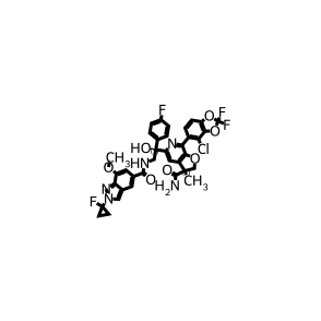 COc1cc(C(=O)NC[C@@](O)(c2ccc(F)cc2)c2cc3c(c(-c4ccc5c(c4Cl)OC(F)(F)O5)n2)OC[C@]3(C)C(N)=O)cc2cn(C3(F)CC3)nc12